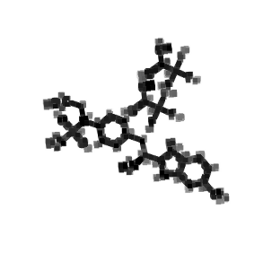 N[C@@H](Cc1ccc(N(CC(=O)O)S(N)(=O)=O)cc1)c1nc2cc(C(F)(F)F)ccc2[nH]1.O=C(O)C(F)(F)F.O=C(O)C(F)(F)F